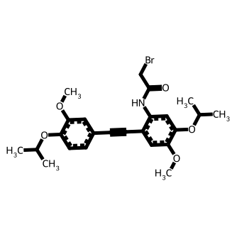 COc1cc(C#Cc2cc(OC)c(OC(C)C)cc2NC(=O)CBr)ccc1OC(C)C